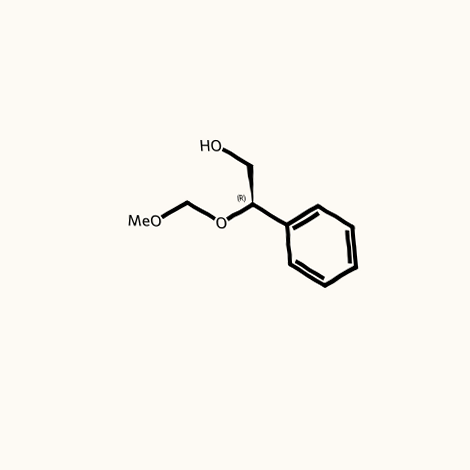 COCO[C@@H](CO)c1ccccc1